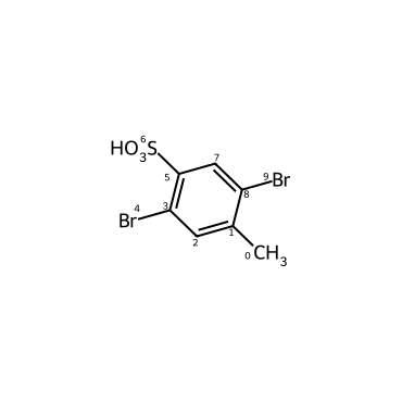 Cc1cc(Br)c(S(=O)(=O)O)cc1Br